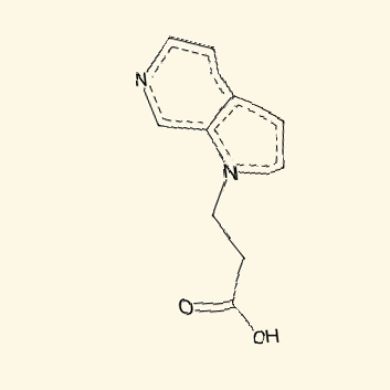 O=C(O)CCn1ccc2ccncc21